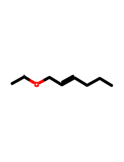 C[CH]OCC=CCCC